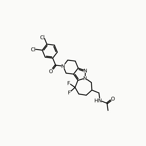 CC(=O)NCC1CCC(F)(F)c2c3c(nn2C1)CCN(C(=O)c1ccc(Cl)c(Cl)c1)C3